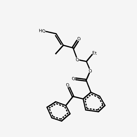 CCC(OC(=O)/C(C)=C/O)OC(=O)c1ccccc1C(=O)c1ccccc1